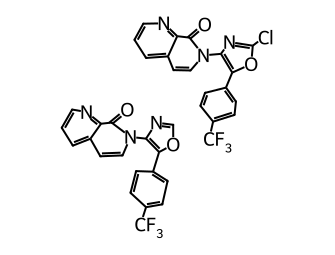 O=c1c2ncccc2ccn1-c1nc(Cl)oc1-c1ccc(C(F)(F)F)cc1.O=c1c2ncccc2ccn1-c1ncoc1-c1ccc(C(F)(F)F)cc1